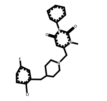 Cn1c(CN2CCC(Cc3cc(F)ccc3Cl)CC2)cc(=O)n(-c2ccccc2)c1=O